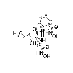 CCCC(C)C(NCC(=O)NO)C(=O)NC1CCCCC1C(=O)NO